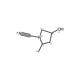 CC1CC(O)CN1C#N